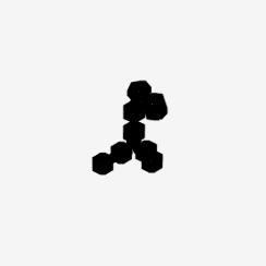 c1ccc(-c2ccc(N(c3ccc(-c4ccc5c(c4)C4(c6ccccc6-5)C5CC6CC(C5)CC4C6)cc3)c3ccc4ccccc4c3)cc2)cc1